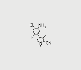 Cc1c(-c2cc(N)c(Cl)cc2F)nn(C)c1C#N